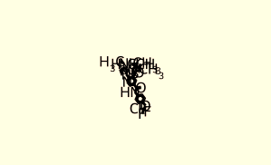 CN[C@@H]1CCN(c2ncc(C(=O)Nc3ccc(OC(F)(F)Cl)cc3)cc2B2OC(C)(C)C(C)(C)O2)C1